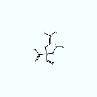 C=CC(CC=C(C)C)(COC)C(C)=O